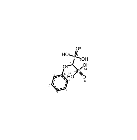 O=P(O)(O)C(Oc1ccccc1)P(=O)(O)O